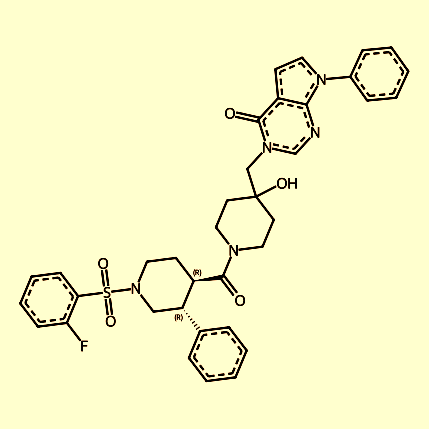 O=C([C@@H]1CCN(S(=O)(=O)c2ccccc2F)C[C@H]1c1ccccc1)N1CCC(O)(Cn2cnc3c(ccn3-c3ccccc3)c2=O)CC1